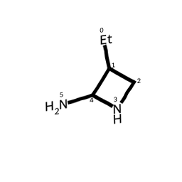 CCC1CNC1N